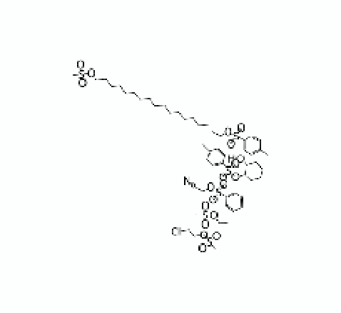 CCCCCCCCCCCCCCCCOS(C)(=O)=O.CCOS(=O)(=O)c1ccc(C)cc1.CCOS(C)(=O)=O.CS(=O)(=O)OCCCl.Cc1ccc(S(=O)(=O)O[C@@H]2CCCC[C@H]2O)cc1.N#CCOS(=O)(=O)c1ccccc1